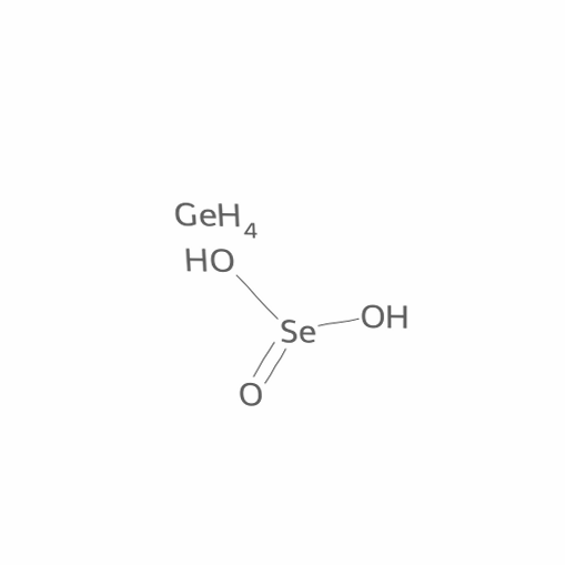 O=[Se](O)O.[GeH4]